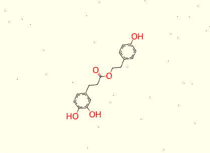 O=C(CCc1ccc(O)c(O)c1)OCCc1ccc(O)cc1